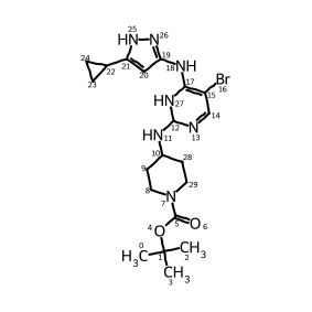 CC(C)(C)OC(=O)N1CCC(NC2N=CC(Br)=C(Nc3cc(C4CC4)[nH]n3)N2)CC1